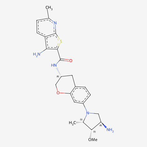 CO[C@H]1[C@H](N)CN(c2ccc3c(c2)OC[C@H](NC(=O)c2sc4nc(C)ccc4c2N)C3)[C@H]1C